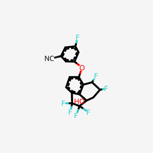 N#Cc1cc(F)cc(Oc2ccc3c4c2C(F)C(F)CC4(O)C(F)(F)C3(F)F)c1